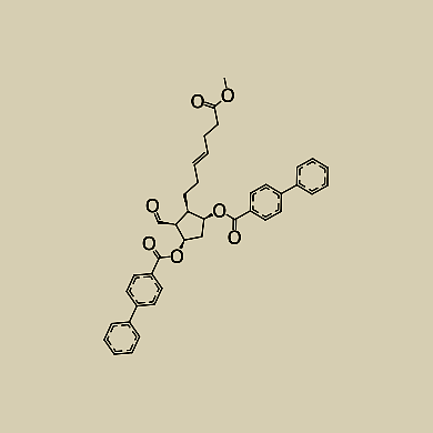 COC(=O)CCC=CCC[C@@H]1[C@H](C=O)[C@H](OC(=O)c2ccc(-c3ccccc3)cc2)C[C@@H]1OC(=O)c1ccc(-c2ccccc2)cc1